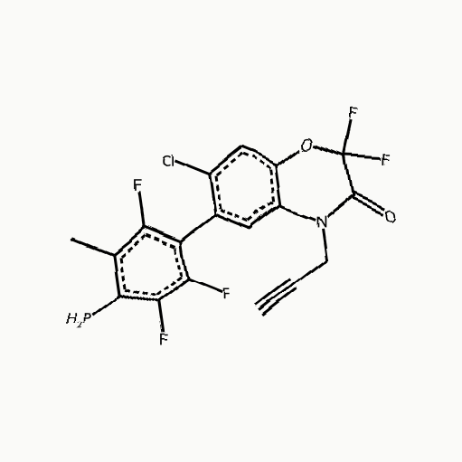 C#CCN1C(=O)C(F)(F)Oc2cc(Cl)c(-c3c(F)c(C)c(P)c(F)c3F)cc21